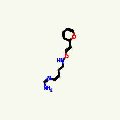 N/C=N\C=C/CCNO/C=C/C1C=CC=CO1